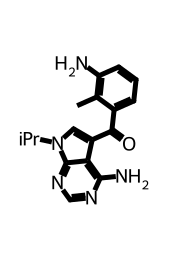 Cc1c(N)cccc1C(=O)c1cn(C(C)C)c2ncnc(N)c12